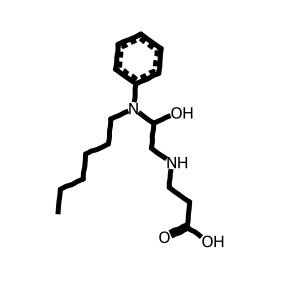 CCCCCCN(c1ccccc1)C(O)CNCCC(=O)O